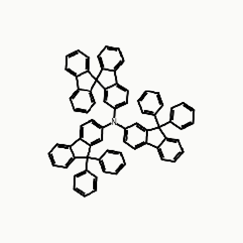 c1ccc(C2(c3ccccc3)c3ccccc3-c3ccc(N(c4ccc5c(c4)C(c4ccccc4)(c4ccccc4)c4ccccc4-5)c4ccc5c(c4)C4(c6ccccc6-c6ccccc64)c4ccccc4-5)cc32)cc1